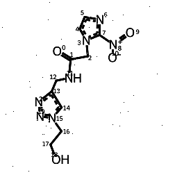 O=C(Cn1ccnc1[N+](=O)[O-])NCc1cn(CCO)nn1